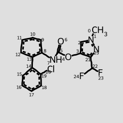 Cn1cc(OC(=O)Nc2ccccc2-c2ccccc2Cl)c(C(F)F)n1